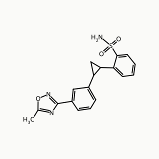 Cc1nc(-c2cccc(C3CC3c3ccccc3S(N)(=O)=O)c2)no1